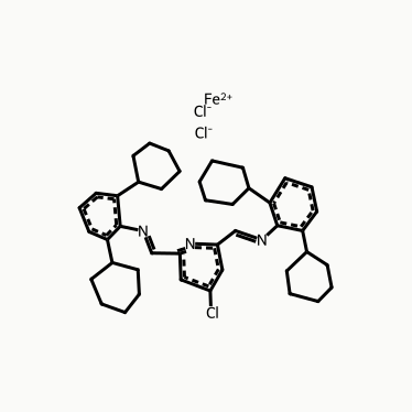 Clc1cc(C=Nc2c(C3CCCCC3)cccc2C2CCCCC2)nc(C=Nc2c(C3CCCCC3)cccc2C2CCCCC2)c1.[Cl-].[Cl-].[Fe+2]